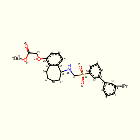 CC(C)c1cccc(-c2cccc(S(=O)(=O)CNC3CCCCc4c(OCC(=O)OC(C)(C)C)cccc43)c2)c1